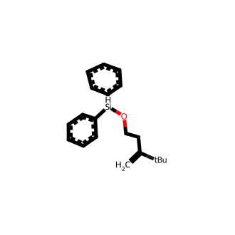 C=C(CCO[SiH](c1ccccc1)c1ccccc1)C(C)(C)C